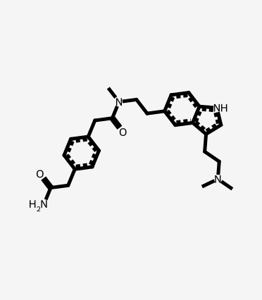 CN(C)CCc1c[nH]c2ccc(CCN(C)C(=O)Cc3ccc(CC(N)=O)cc3)cc12